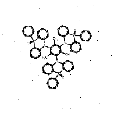 Cc1c(N2c3ccccc3P(=O)(c3ccccc3)c3ccccc32)c(C)c(N2c3ccccc3P(=O)(c3ccccc3)c3ccccc32)c(C)c1N1c2ccccc2P(=O)(c2ccccc2)c2ccccc21